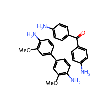 COc1cc(-c2ccc(N)c(OC)c2)ccc1N.Nc1ccc(C(=O)c2ccc(N)cc2)cc1